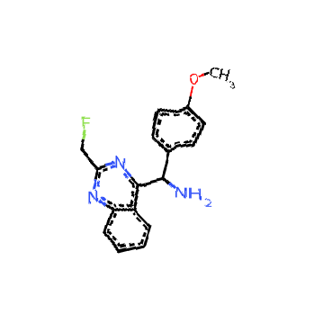 COc1ccc(C(N)c2nc(CF)nc3ccccc23)cc1